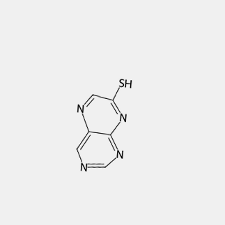 Sc1cnc2cncnc2n1